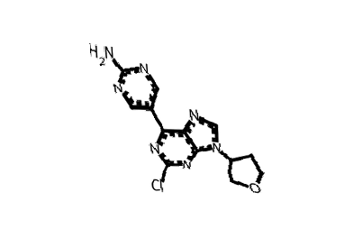 Nc1ncc(-c2nc(Cl)nc3c2ncn3C2CCOC2)cn1